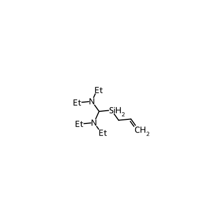 C=CC[SiH2]C(N(CC)CC)N(CC)CC